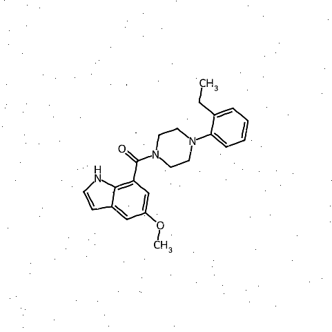 CCc1ccccc1N1CCN(C(=O)c2cc(OC)cc3cc[nH]c23)CC1